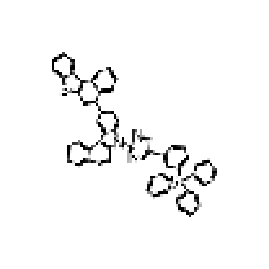 c1ccc([Si](c2ccccc2)(c2ccccc2)c2cccc(-c3cnc(-n4c5ccc(-c6cc7sc8ccccc8c7c7ccccc67)cc5c5c6ccccc6ccc54)nc3)c2)cc1